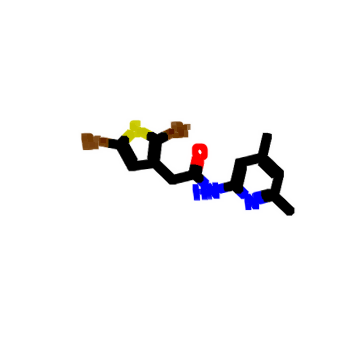 Cc1cc(C)nc(NC(=O)Cc2cc(Br)sc2Br)c1